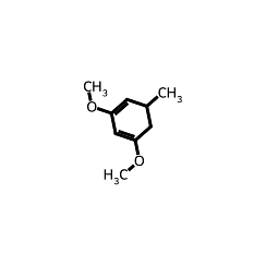 COC1=CC(C)CC(OC)=C1